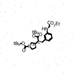 CCOC(=O)CNc1cccc(C[C@H](C(=O)OC(C)(C)C)[C@H]2CCN(C(=O)OC(C)(C)C)C2)c1